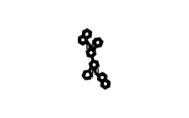 C1=CC2c3cc(-c4ccc5c(c4)c4ccccc4n5-c4cccc5ccccc45)ccc3N(c3ccc4ccccc4c3)C2C=C1